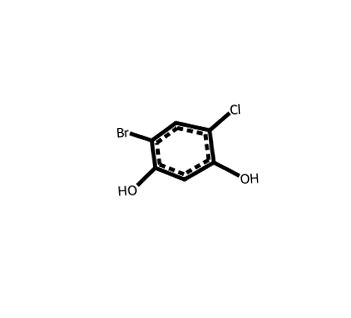 Oc1cc(O)c(Br)cc1Cl